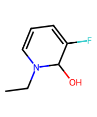 CCN1C=CC=C(F)C1O